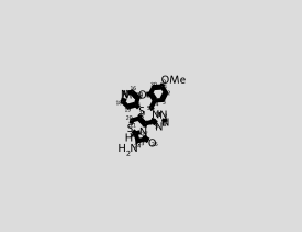 COc1ccc(Cn2nnnc2C2=C(Sc3ccncc3)CS[C@@H]3[C@H](N)C(=O)N23)c(OC)c1